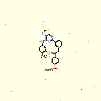 COC(=O)c1ccc(CCc2cccc(-c3nc(Nc4ccc(OC)c(OC)c4)c4ncsc4n3)c2)cc1